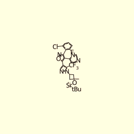 CC1(O[Si](C)(C)C(C)(C)C)CC(n2ncc(-c3onc(-c4c(F)cccc4Cl)c3-c3ccncn3)c2C(F)(F)F)C1